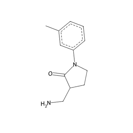 Cc1cccc(N2CCC(CN)C2=O)c1